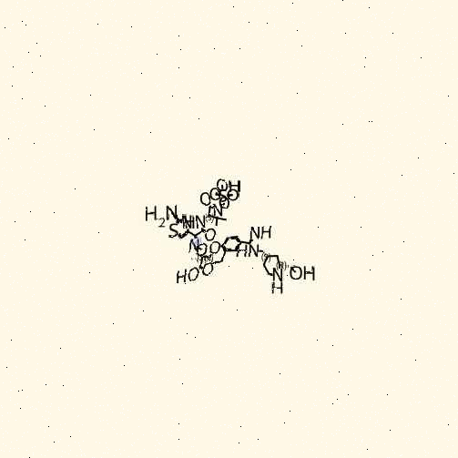 CC1(C)[C@H](NC(=O)/C(=N\O[C@](C)(C(=O)O)[C@H]2CCc3cc(C(=N)NC[C@H]4CCN[C@@H](CO)C4)ccc3O2)c2csc(N)n2)C(=O)N1OS(=O)(=O)O